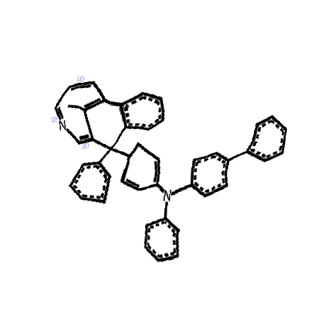 CC1=C2\C=C/C=N\C=C1\C(c1ccccc1)(C1C=CC(N(c3ccccc3)c3ccc(-c4ccccc4)cc3)=CC1)c1ccccc12